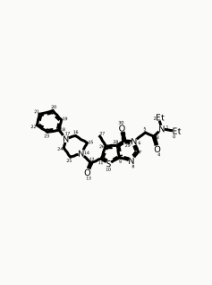 CCN(CC)C(=O)Cn1cnc2sc(C(=O)N3CCN(c4ccccc4)CC3)c(C)c2c1=O